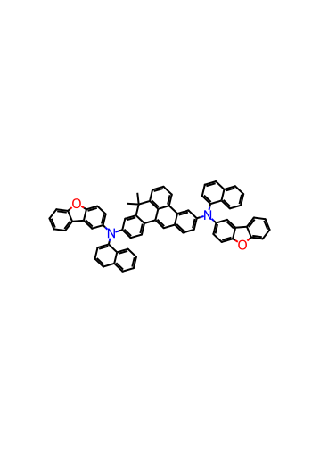 CC1(C)c2cc(N(c3ccc4oc5ccccc5c4c3)c3cccc4ccccc34)ccc2-c2cc3ccc(N(c4ccc5oc6ccccc6c5c4)c4cccc5ccccc45)cc3c3cccc1c23